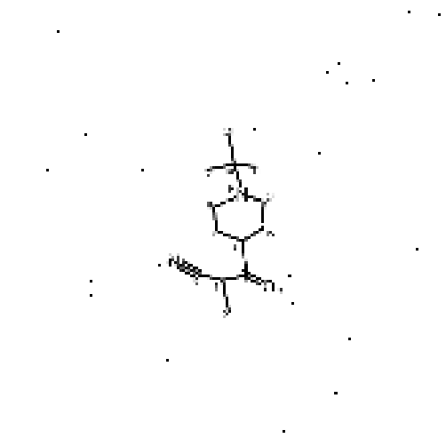 CC(C#N)C(=O)C1CCN(C(C)(C)C)CC1